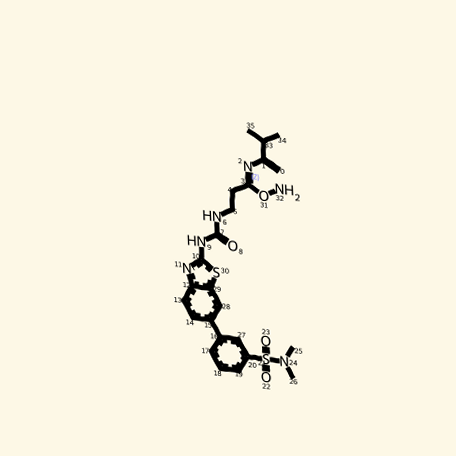 C=C(/N=C(/CCNC(=O)Nc1nc2ccc(-c3cccc(S(=O)(=O)N(C)C)c3)cc2s1)ON)C(C)C